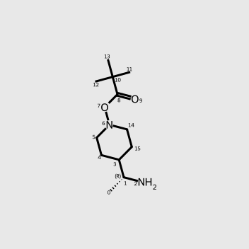 C[C@@H](N)C1CCN(OC(=O)C(C)(C)C)CC1